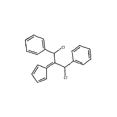 ClC(C(=C1C=CC=C1)C(Cl)c1ccccc1)c1ccccc1